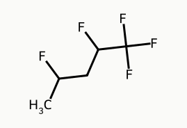 CC(F)CC(F)C(F)(F)F